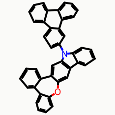 c1ccc2c(c1)Oc1cc3c4ccccc4n(-c4ccc5c6ccccc6c6ccccc6c5c4)c3cc1-c1ccccc1-2